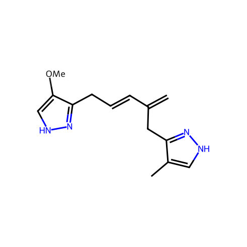 C=C(C=CCc1n[nH]cc1OC)Cc1n[nH]cc1C